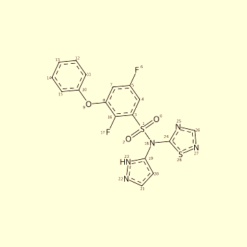 O=S(=O)(c1cc(F)cc(Oc2ccccc2)c1F)N(c1ccn[nH]1)c1ncns1